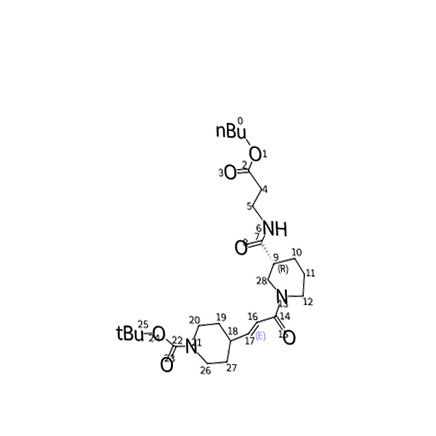 CCCCOC(=O)CCNC(=O)[C@@H]1CCCN(C(=O)/C=C/C2CCN(C(=O)OC(C)(C)C)CC2)C1